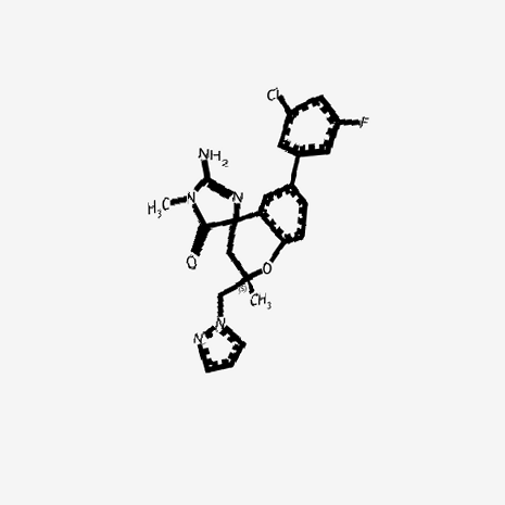 CN1C(=O)C2(C[C@@](C)(Cn3cccn3)Oc3ccc(-c4cc(F)cc(Cl)c4)cc32)N=C1N